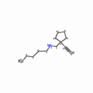 C#CC1(CNCCCCC)CCCC1